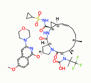 COc1ccc2c(O[C@@H]3C[C@H]4C(=O)N[C@]5(C(=O)NS(=O)(=O)C6CC6)C[C@H]5C=CCC[C@@H](C)C[C@@H](C)[C@H](N(C(=O)O)C(C)(C)C(F)(F)F)C(=O)N4C3)nc(N3CCOCC3)cc2c1